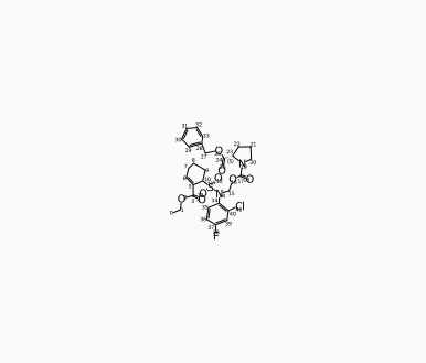 CCOC(=O)C1=CCCCC1S(=O)(=O)N(COC(=O)N1CCC[C@H]1C(=O)OCc1ccccc1)c1ccc(F)cc1Cl